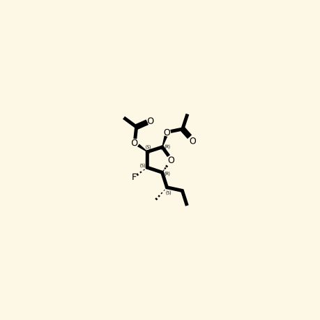 CC[C@H](C)[C@H]1O[C@H](OC(C)=O)[C@H](OC(C)=O)[C@H]1F